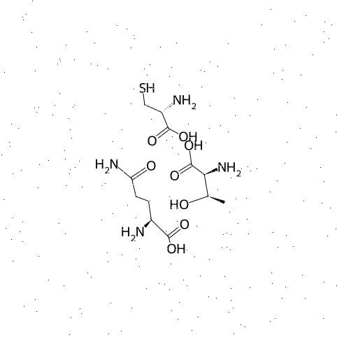 C[C@@H](O)[C@H](N)C(=O)O.NC(=O)CC[C@H](N)C(=O)O.N[C@@H](CS)C(=O)O